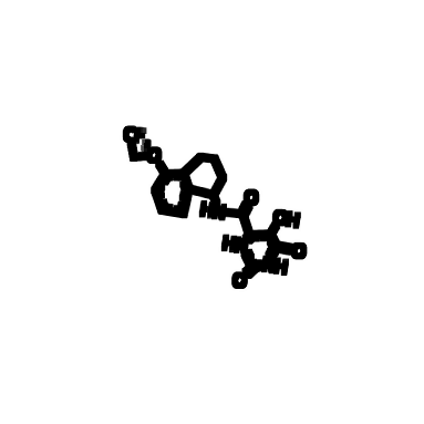 O=C(NC1CCCc2c(OCC(F)(F)F)cccc21)c1[nH]c(=O)[nH]c(=O)c1O